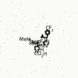 CNCSNNC(=O)C1(CNc2ncnc(N(Cc3ccc(C(F)(F)F)cc3)C3CC3)c2F)CCN(C(=O)O)CC1